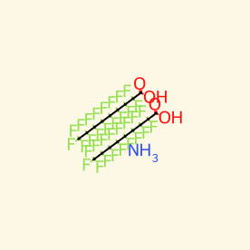 N.O=C(O)C(F)(F)C(F)(F)C(F)(F)C(F)(F)C(F)(F)C(F)(F)C(F)(F)C(F)(F)F.O=C(O)C(F)(F)C(F)(F)C(F)(F)C(F)(F)C(F)(F)C(F)(F)C(F)(F)C(F)(F)F